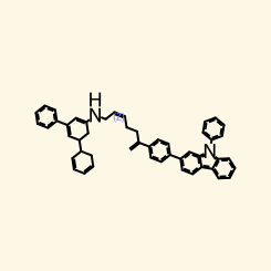 C=C(CC/C=C\CNC1=CC(c2ccccc2)=CC(C2C=CC=CC2)C1)c1ccc(-c2ccc3c4ccccc4n(-c4ccccc4)c3c2)cc1